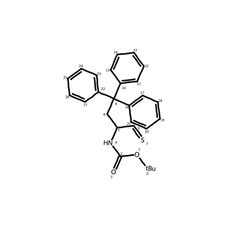 CC(C)(C)OC(=O)NC(C=S)CC(c1ccccc1)(c1ccccc1)c1ccccc1